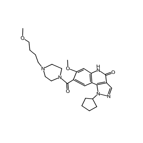 COCCCCN1CCN(C(=O)c2cc3c(cc2OC)[nH]c(=O)c2cnn(C4CCCC4)c23)CC1